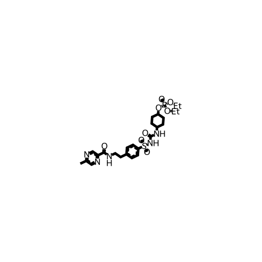 CCOP(=O)(OCC)OC1CCC(NC(=O)NS(=O)(=O)c2ccc(CCNC(=O)c3cnc(C)cn3)cc2)CC1